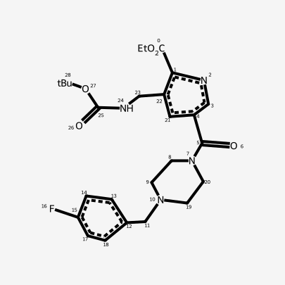 CCOC(=O)c1ncc(C(=O)N2CCN(Cc3ccc(F)cc3)CC2)cc1CNC(=O)OC(C)(C)C